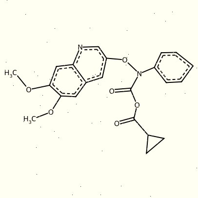 COc1cc2cc(ON(C(=O)OC(=O)C3CC3)c3ccccc3)cnc2cc1OC